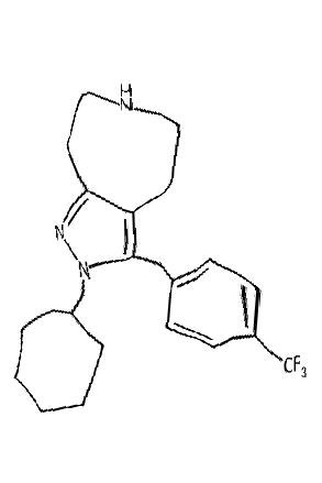 FC(F)(F)c1ccc(-c2c3c(nn2C2CCCCC2)CCNCC3)cc1